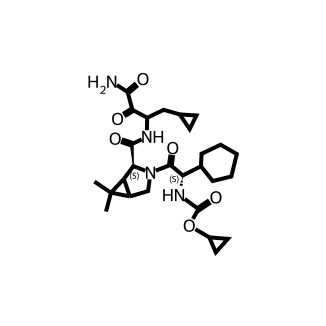 CC1(C)C2CN(C(=O)[C@@H](NC(=O)OC3CC3)C3CCCCC3)[C@H](C(=O)NC(CC3CC3)C(=O)C(N)=O)C21